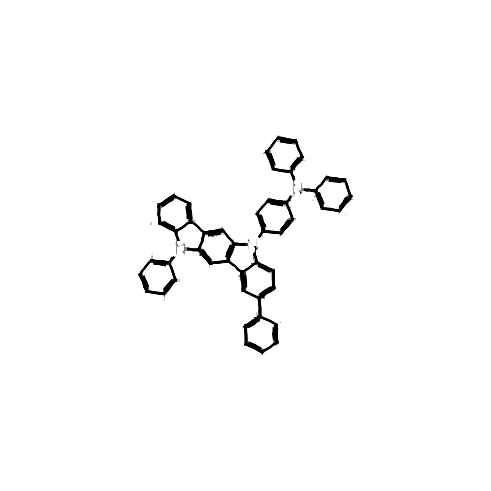 c1ccc(-c2ccc3c(c2)c2cc4c(cc2n3-c2ccc(N(c3ccccc3)c3ccccc3)cc2)c2ccccc2n4-c2ccccc2)cc1